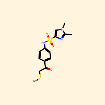 CC(=O)SCC(=O)c1ccc(NS(=O)(=O)c2cn(C)c(C)n2)cc1